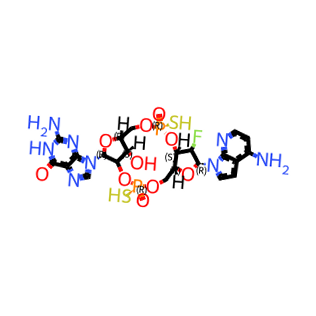 Nc1nc2c(ncn2[C@@H]2O[C@@H]3CO[P@@](=O)(S)O[C@@H]4C(F)[C@H](n5ccc6c(N)ccnc65)O[C@@H]4CO[P@@](=O)(S)OC2[C@H]3O)c(=O)[nH]1